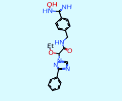 CCOC(C(=O)NCc1ccc(C(=N)NO)cc1)n1cnc(-c2ccccc2)n1